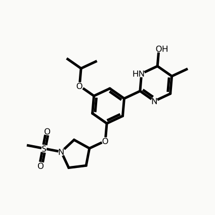 CC1=CN=C(c2cc(OC(C)C)cc(OC3CCN(S(C)(=O)=O)C3)c2)NC1O